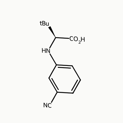 CC(C)(C)[C@H](Nc1cccc(C#N)c1)C(=O)O